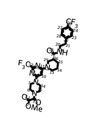 COC(=O)C(=O)N1CCN(c2cc(N3CCC[C@@H](C(=O)NCCc4ccc(C(F)(F)F)cc4)C3)nc(C(F)(F)F)n2)CC1